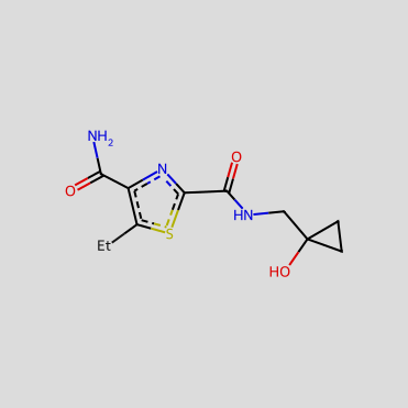 CCc1sc(C(=O)NCC2(O)CC2)nc1C(N)=O